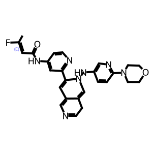 C/C(F)=C\C(=O)Nc1ccnc(C2=CC3=CN=CCC3=CN2Nc2ccc(N3CCOCC3)nc2)c1